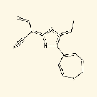 C/C=c1\s/c(=C(/C#N)C=O)nc1C1=CC=CSC=C1